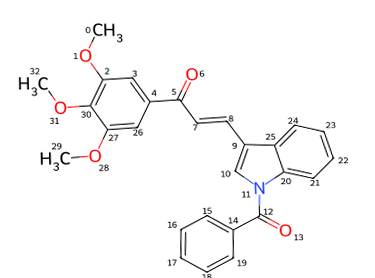 COc1cc(C(=O)C=Cc2cn(C(=O)c3ccccc3)c3ccccc23)cc(OC)c1OC